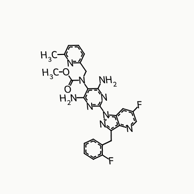 COC(=O)N(Cc1cccc(C)n1)c1c(N)nc(-n2nc(Cc3ccccc3F)c3ncc(F)cc32)nc1N